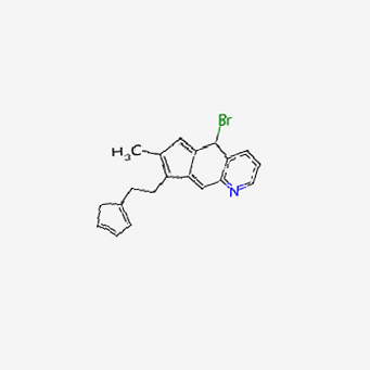 CC1=C(CCC2=CC=CC2)C2=Cc3ncccc3C(Br)C2=C1